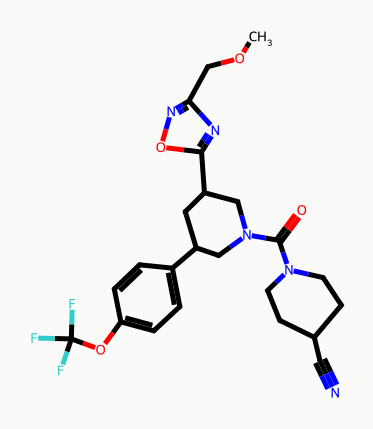 COCc1noc(C2CC(c3ccc(OC(F)(F)F)cc3)CN(C(=O)N3CCC(C#N)CC3)C2)n1